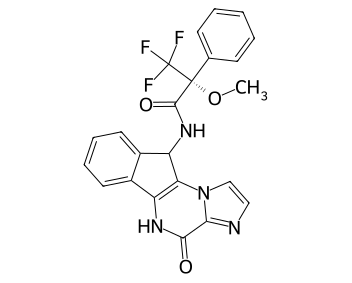 CO[C@@](C(=O)NC1c2ccccc2-c2[nH]c(=O)c3nccn3c21)(c1ccccc1)C(F)(F)F